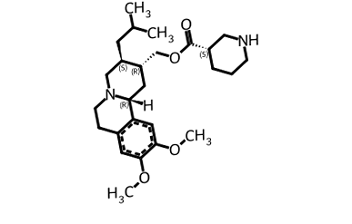 COc1cc2c(cc1OC)[C@H]1C[C@@H](COC(=O)[C@H]3CCCNC3)[C@H](CC(C)C)CN1CC2